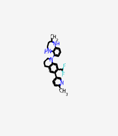 C=C1CCNc2c(cccc2N2CCCc3cc(-c4ccc(C)nc4)c(C(F)F)cc32)N1